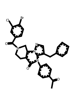 CC(=O)c1ccc(-n2c(=O)c3c(n4ncc(Cc5ccccc5)c24)CN(C(=O)c2ccc(Br)c(Cl)c2)CC3)cc1